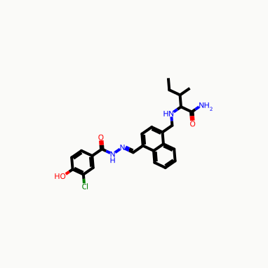 CCC(C)C(NCc1ccc(/C=N/NC(=O)c2ccc(O)c(Cl)c2)c2ccccc12)C(N)=O